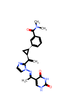 C=C(c1nccn1/N=C(\C)c1c[nH]c(=O)[nH]c1=O)[C@H]1C[C@@H]1c1cccc(C(=O)N(C)C)c1